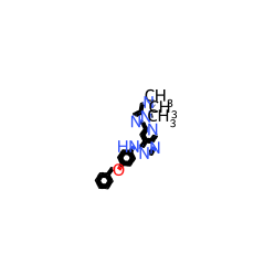 CN(C)Cc1cnc(-c2cc3c(Nc4ccc(OCc5ccccc5)cc4)ncnc3cn2)n1C